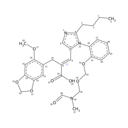 CCCCc1ncc(/C=C(\Cc2cc3c(cc2OC)OCO3)C(=O)O)n1-c1ccccc1OCOCN(C)C=O